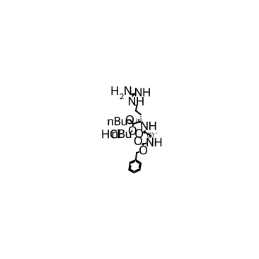 CCCCOC(OCCCC)[C@H](CCCNC(=N)N)NC(=O)[C@H](C)NC(=O)OCc1ccccc1.Cl